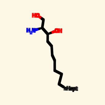 CCCCCCCCCCCCCC[C@H](O)[C@@H](N)CO